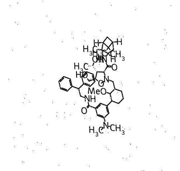 COC1C(CN2O[C@@H](CO)[C@H]([C@H](C)O)[C@H]2C(=O)N[C@H]2C[C@H]3C[C@@H]([C@@H]2C)C3(C)C)CCCC1c1cc(C(=O)NCC(c2ccccc2)c2ccccc2)cc(N(C)C)c1